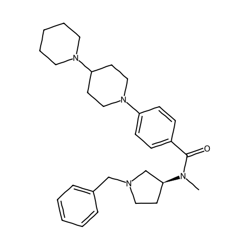 CN(C(=O)c1ccc(N2CCC(N3CCCCC3)CC2)cc1)[C@H]1CCN(Cc2ccccc2)C1